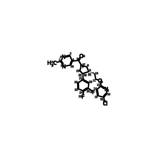 Cc1ncc(C(=O)N2C[C@H](CCOc3ccc(Cl)cn3)[C@@H](c3ccc(F)c(F)c3)C2)cn1